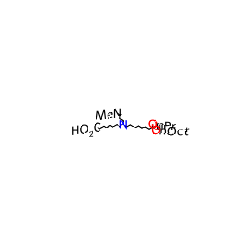 CCCCCCCCC(CCC)OC(=O)CCCCCCCN(CCCCCCCC(=O)O)CCCNC